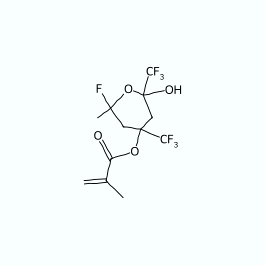 C=C(C)C(=O)OC1(C(F)(F)F)CC(C)(F)OC(O)(C(F)(F)F)C1